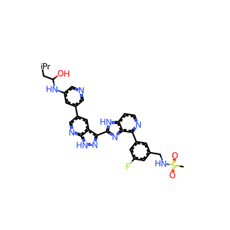 CC(C)CC(O)Nc1cncc(-c2cnc3[nH]nc(-c4nc5c(-c6cc(F)cc(CNS(C)(=O)=O)c6)nccc5[nH]4)c3c2)c1